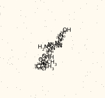 Cc1c(C(=O)NC2CCN(c3nc(-c4cncc(N5CCN(CCO)CC5)n4)cnc3N)CC2)c(=O)n(-c2ccccc2Cl)n1C